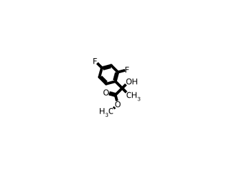 COC(=O)C(C)(O)c1ccc(F)cc1F